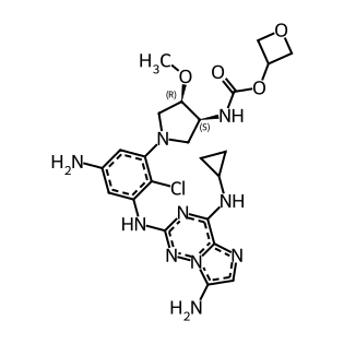 CO[C@@H]1CN(c2cc(N)cc(Nc3nc(NC4CC4)c4ncc(N)n4n3)c2Cl)C[C@@H]1NC(=O)OC1COC1